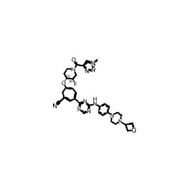 Cn1cc(C(=O)N2CC[C@H](OC3=CC=C(c4ncnc(Nc5ccc(N6CCN(C7COC7)CC6)cc5)n4)C=C(C#N)C3)[C@H](F)C2)nn1